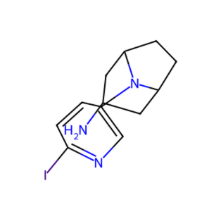 NC1CC2CCC(C1)N2c1ccc(I)nc1